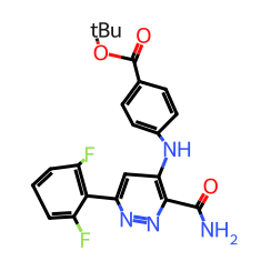 CC(C)(C)OC(=O)c1ccc(Nc2cc(-c3c(F)cccc3F)nnc2C(N)=O)cc1